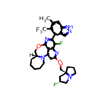 Cc1cc2[nH]ncc2c(-c2nc3c4c(cc(OC[C@@]56CCCN5C[C@H](F)C6)nc4c2F)N2CCCCC[C@@H]2CO3)c1C(F)(F)F